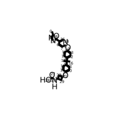 Cc1nnc(-c2ccc(Oc3ccc(C(C)(C)c4ccc(OC5CC(NC(=O)O)C5)cc4)cc3)nc2)o1